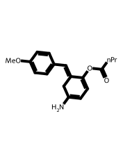 CCCC(=O)OC1=CC=C(N)CC1=Cc1ccc(OC)cc1